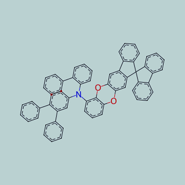 c1ccc(-c2ccc(N(c3ccccc3-c3ccccc3)c3cccc4c3Oc3cc5c(cc3O4)C3(c4ccccc4-c4ccccc43)c3ccccc3-5)cc2-c2ccccc2)cc1